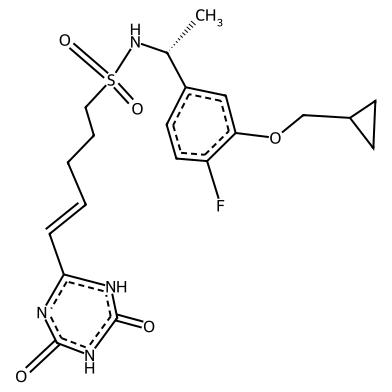 C[C@@H](NS(=O)(=O)CCC/C=C/c1nc(=O)[nH]c(=O)[nH]1)c1ccc(F)c(OCC2CC2)c1